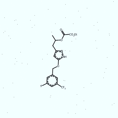 CCOC(=O)C(=O)OC(C)Cc1cc(OCc2cc(F)cc(C(F)(F)F)c2)[nH]n1